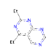 CCc1nc(CC)c2cncnc2n1